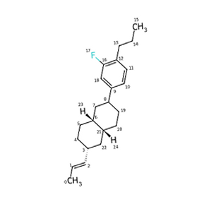 CC=C[C@@H]1CC[C@@H]2CC(c3ccc(CCC)c(F)c3)CC[C@@H]2C1